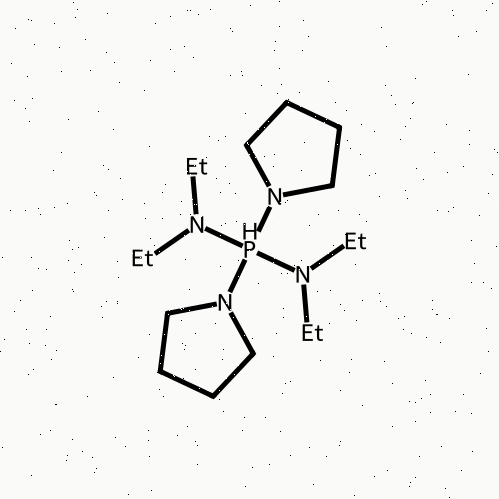 CCN(CC)[PH](N(CC)CC)(N1CCCC1)N1CCCC1